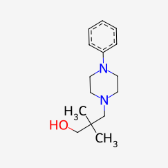 CC(C)(CO)CN1CCN(c2ccccc2)CC1